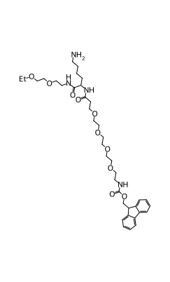 CCOCCOCCNC(=O)C(CCCCN)NC(=O)CCOCCOCCOCCOCCNC(=O)OCC1c2ccccc2-c2ccccc21